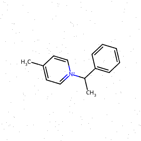 Cc1cc[n+](C(C)c2ccccc2)cc1